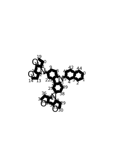 c1ccc2cc(-n3c4ccc(-n5c6ccoc6c6occc65)cc4c4cc(-n5c6ccoc6c6occc65)ccc43)ccc2c1